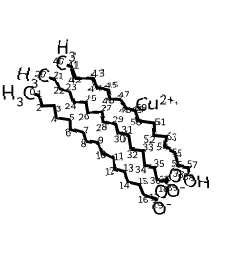 CCCCCCCCCCCCCCCCCC(=O)[O-].CCCCCCCCCCCCCCCCCC(=O)[O-].CCCCCCCCCCCCCCCCCCO.[Cu+2]